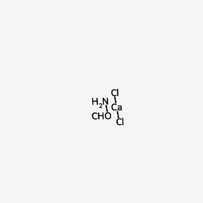 NC=O.[Cl][Ca][Cl]